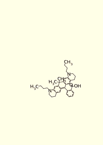 CCCCN1CCCc2cc3c(cc21)C(C)(C)c1cc2c(cc1=C3c1ccccc1C(=O)O)CCC[N+]=2CCCC